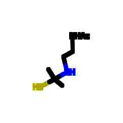 CC(=O)NCCNC(C)(C)S